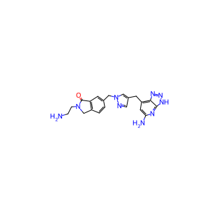 NCCN1Cc2ccc(Cn3cc(Cc4cc(N)nc5[nH]nnc45)cn3)cc2C1=O